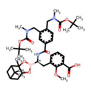 COc1c(C[C@H](NC(=O)c2ccc(CN(C)C(=O)OC(C)(C)C)c(CN(C)C(=O)OC(C)(C)C)c2)B2OC3CC4CC(C4(C)C)C3(C)O2)cccc1C(=O)O